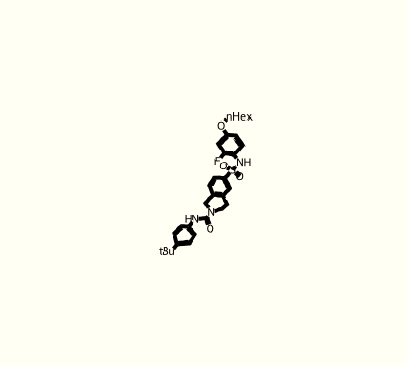 CCCCCCOc1ccc(NS(=O)(=O)c2ccc3c(c2)CCN(C(=O)Nc2ccc(C(C)(C)C)cc2)C3)c(F)c1